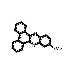 CSc1ccc2nc3c4ccccc4c4ccccc4c3nc2c1